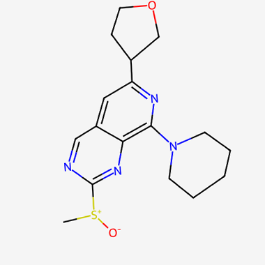 C[S+]([O-])c1ncc2cc(C3CCOC3)nc(N3CCCCC3)c2n1